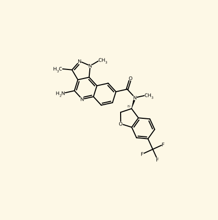 Cc1nn(C)c2c1c(N)nc1ccc(C(=O)N(C)[C@@H]3COc4cc(C(F)(F)F)ccc43)cc12